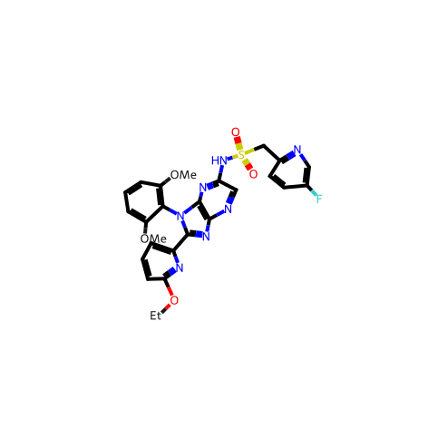 CCOc1cccc(-c2nc3ncc(NS(=O)(=O)Cc4ccc(F)cn4)nc3n2-c2c(OC)cccc2OC)n1